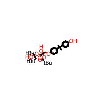 CC(C)(C)CC(O)(OC(=O)C(O)(COc1ccc(C(C)(C)c2ccc(O)cc2)cc1)OC(=O)C(C)(C)C)C(C)(C)C